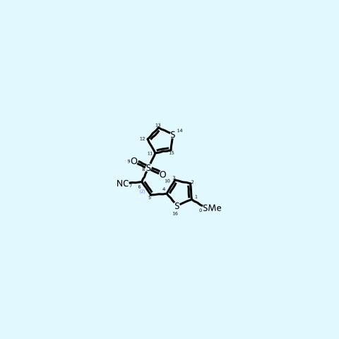 CSc1ccc(/C=C(/C#N)S(=O)(=O)c2ccsc2)s1